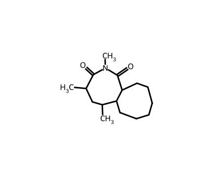 CC1CC(C)C2CCCCCCC2C(=O)N(C)C1=O